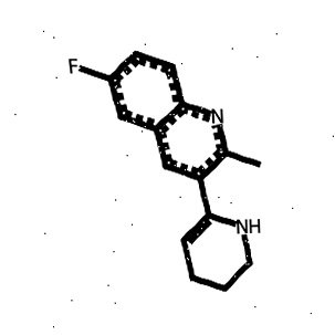 Cc1nc2ccc(F)cc2cc1C1=CCCCN1